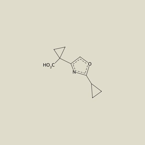 O=C(O)C1(c2coc(C3CC3)n2)CC1